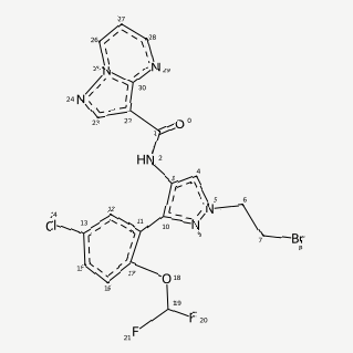 O=C(Nc1cn(CCBr)nc1-c1cc(Cl)ccc1OC(F)F)c1cnn2cccnc12